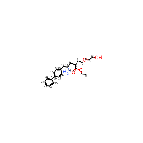 CCOC(=O)[C@H](CCOCCO)C[C@H](N)Cc1ccc(-c2ccccc2)cc1